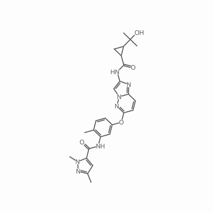 Cc1cc(C(=O)Nc2cc(Oc3ccc4nc(NC(=O)C5CC5C(C)(C)O)cn4n3)ccc2C)n(C)n1